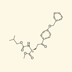 COC(=O)[C@H](CCC(=O)c1ccc(OCc2ccccc2)cc1)NC(=O)OCC(C)C